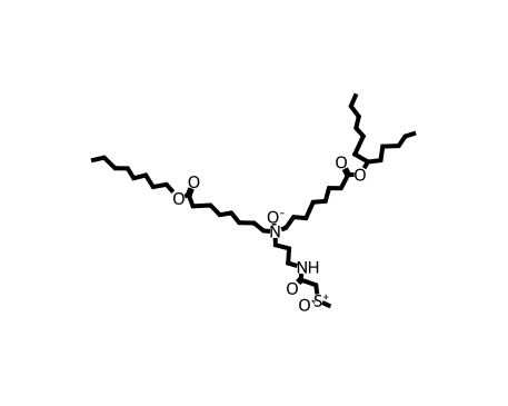 CCCCCCCCOC(=O)CCCCCCC[N+]([O-])(CCCCCCCC(=O)OC(CCCCC)CCCCCC)CCCNC(=O)C[S+](C)[O-]